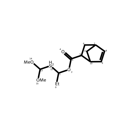 CCC(OC(=O)C1CC2C=CC1C2)[SiH2]C(OC)OC